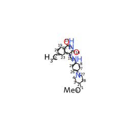 COCC1CCN(c2ccc(N/C=C3\C(=O)NC(=O)c4ccc(C)cc43)cc2)CC1